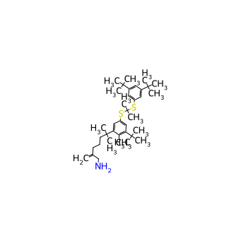 C=C(CN)CCCC(C)(C)c1cc(SC(C)(C)Sc2cc(C(C)(C)C)cc(C(C)(C)C)c2)cc(C(C)(C)C)c1C